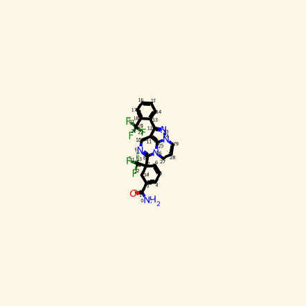 NC(=O)C1=CC=CC(C2=NCc3c(-c4ccccc4C(F)(F)F)nn4c3N2CC=C4)(C(F)(F)F)C1